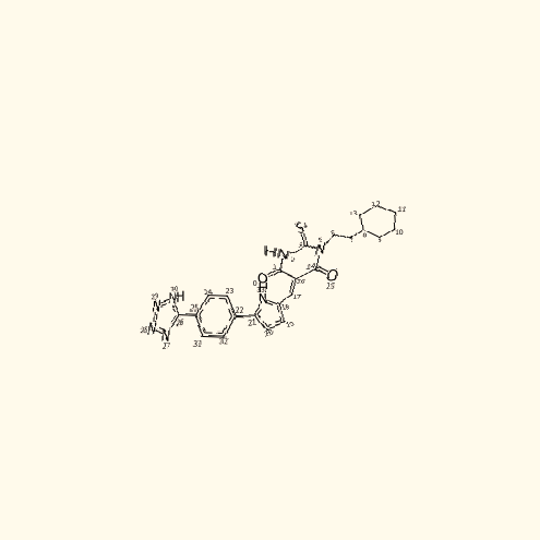 O=C1NC(=S)N(CCC2CCCCC2)C(=O)C1=Cc1ccc(-c2ccc(-c3nnn[nH]3)cc2)[nH]1